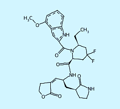 CC[C@H]1CC(F)(F)C[C@@H](C(=O)N[C@H](/C=C2/CCOC2=O)C[C@@H]2CCNC2=O)N1C(=O)c1cc2c(OC)cccc2[nH]1